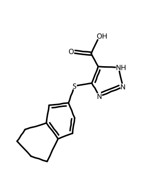 O=C(O)c1[nH]nnc1Sc1ccc2c(c1)CCCC2